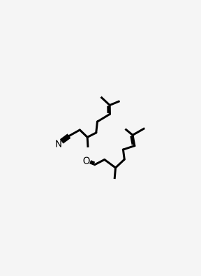 CC(C)=CCCC(C)CC#N.CC(C)=CCCC(C)CC=O